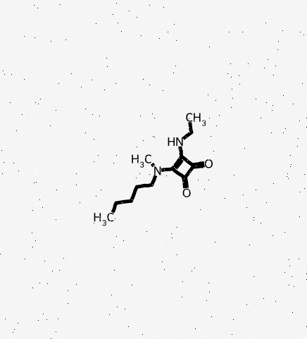 CCCCCN(C)c1c(NCC)c(=O)c1=O